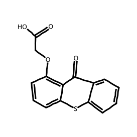 O=C(O)COc1cccc2sc3ccccc3c(=O)c12